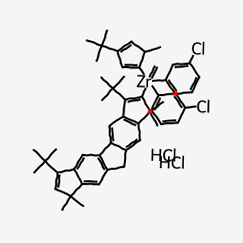 Cl.Cl.[CH2]=[Zr]([C]1=CC(C(C)(C)C)=CC1C)([C]1=C(C(C)(C)C)c2cc3c(cc2C1(C)C)Cc1cc2c(cc1-3)C(C(C)(C)C)=CC2(C)C)([c]1cccc(Cl)c1)[c]1cccc(Cl)c1